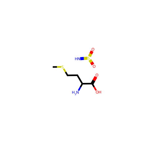 CSCCC(N)C(=O)O.N=S(=O)=O